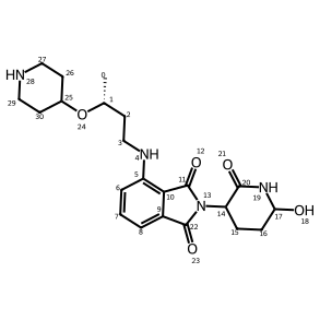 C[C@H](CCNc1cccc2c1C(=O)N(C1CCC(O)NC1=O)C2=O)OC1CCNCC1